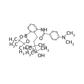 CN(C)c1ccc(C(=O)Nc2cccc(B3OC(C)(C)C(C)(C)O3)c2CCC(C)(C)[Si](C)(C)O)cc1